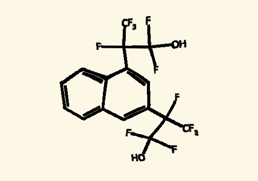 OC(F)(F)C(F)(c1cc(C(F)(C(O)(F)F)C(F)(F)F)c2ccccc2c1)C(F)(F)F